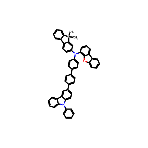 C[Si]1(C)c2ccccc2-c2ccc(N(c3ccc(-c4ccc(-c5ccc6c(c5)c5ccccc5n6-c5ccccc5)cc4)cc3)c3cccc4c3oc3ccccc34)cc21